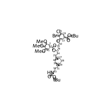 COc1cc(C(=O)OC(CCCOc2cc(C(=O)OC(C)(C)C)cc(Cl)c2Br)CCN2CCCN(CCCNC(=O)OC(C)(C)C)CC2)cc(OC)c1OC